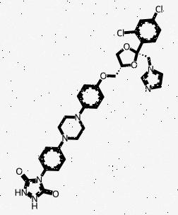 O=c1[nH][nH]c(=O)n1-c1ccc(N2CCN(c3ccc(OC[C@@H]4CO[C@@](Cn5ccnc5)(c5ccc(Cl)cc5Cl)O4)cc3)CC2)cc1